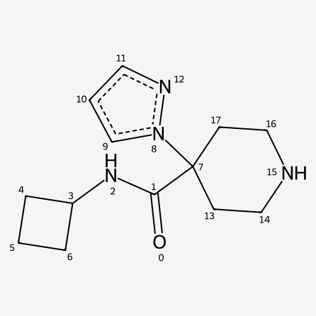 O=C(NC1CCC1)C1(n2cccn2)CCNCC1